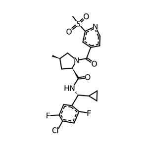 C[C@@H]1C[C@H](C(=O)N[C@@H](c2cc(F)c(Cl)cc2F)C2CC2)N(C(=O)c2ccnc(S(C)(=O)=O)c2)C1